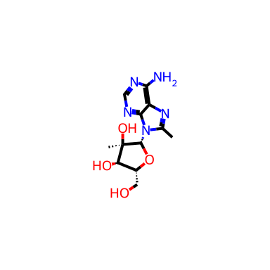 Cc1nc2c(N)ncnc2n1[C@@H]1O[C@H](CO)[C@@H](O)[C@@]1(C)O